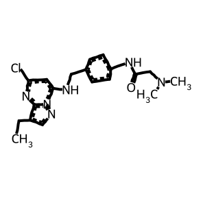 CCc1cnn2c(NCc3ccc(NC(=O)CN(C)C)cc3)cc(Cl)nc12